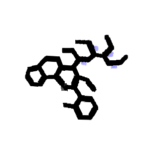 C=C\C(=C/C(=C\C)C(/C=C\C)=C\C)c1c(C=C)c(-c2ccccc2C)nc2c1ccc1ccccc12